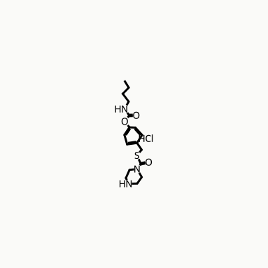 CCCCNC(=O)Oc1ccc(CSC(=O)N2CCNCC2)cc1.Cl